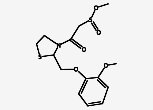 COc1ccccc1OCC1SCCN1C(=O)CS(=O)OC